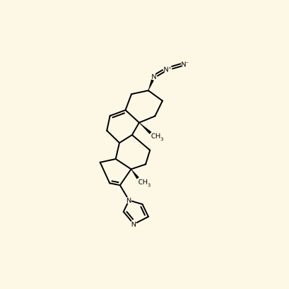 C[C@]12CC[C@H](N=[N+]=[N-])CC1=CCC1C2CC[C@]2(C)C(n3ccnc3)=CCC12